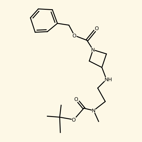 CN(CCNC1CN(C(=O)OCc2ccccc2)C1)C(=O)OC(C)(C)C